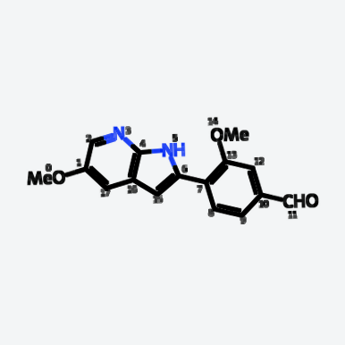 COc1cnc2[nH]c(-c3ccc(C=O)cc3OC)cc2c1